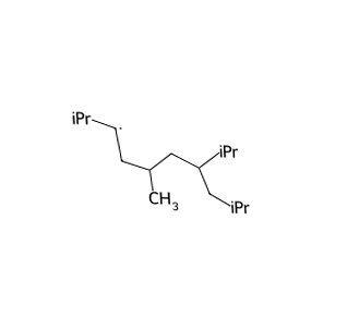 CC(C)[CH]CC(C)CC(CC(C)C)C(C)C